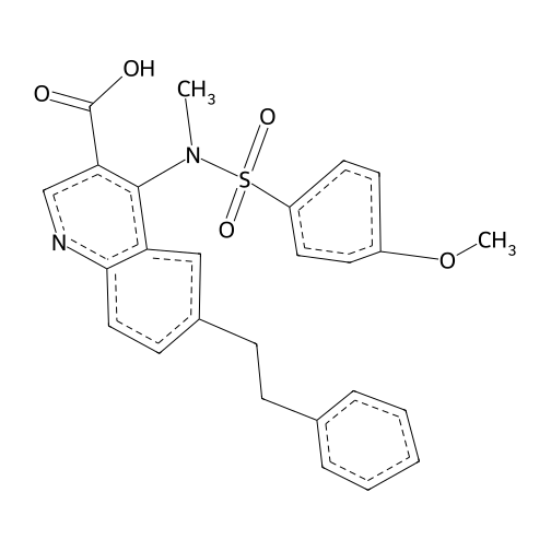 COc1ccc(S(=O)(=O)N(C)c2c(C(=O)O)cnc3ccc(CCc4ccccc4)cc23)cc1